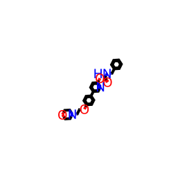 O=C(NCc1ccccc1)Oc1ccc(-c2ccc(OCCN3CCOCC3)cc2)cn1